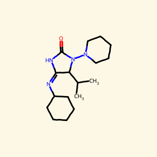 CC(C)C1/C(=N\C2CCCCC2)NC(=O)N1N1CCCCC1